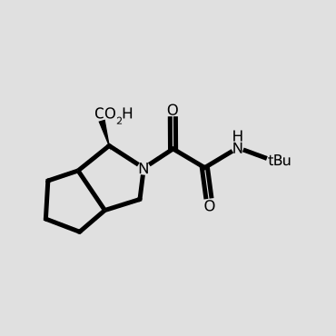 CC(C)(C)NC(=O)C(=O)N1CC2CCCC2[C@H]1C(=O)O